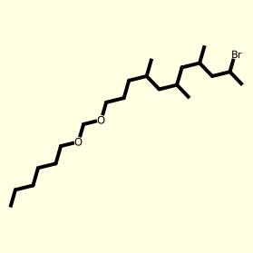 CCCCCCOCOCCCC(C)CC(C)CC(C)CC(C)Br